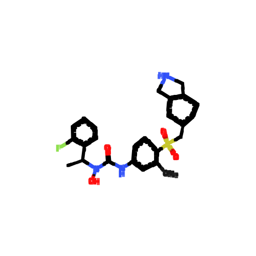 COc1cc(NC(=O)N(O)C(C)c2ccccc2F)ccc1S(=O)(=O)Cc1ccc2c(c1)CNC2